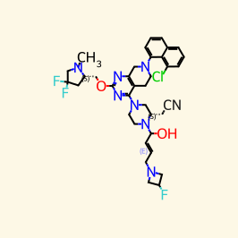 CN1CC(F)(F)C[C@H]1COc1nc2c(c(N3CCN(C(O)/C=C/CN4CC(F)C4)[C@@H](CC#N)C3)n1)CCN(c1cccc3cccc(Cl)c13)C2